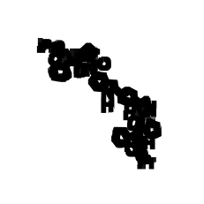 CC(C)OC(=O)N[C@@H](C(=O)N1CCC[C@H]1C(=O)Nc1ccc2[nH]c(-c3ccc(-c4cnc([C@@H]5CCCN5C(=O)[C@H](NC(=O)OC(C)C)c5ccccc5)[nH]4)cc3)cc2c1)c1ccccc1